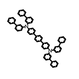 c1ccc(-c2cccc(N(c3ccc(-c4ccc(-c5ccc(N(c6cccc(-c7ccccc7)c6)c6cccc(-c7ccccc7)c6)cc5)cc4)cc3)c3cccc(-c4ccccc4)c3)c2)cc1